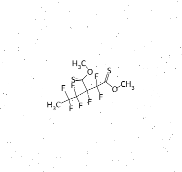 COC(=S)C(F)(F)C(F)(C(=S)OC)C(F)(F)C(C)(F)F